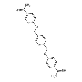 N=C(N)c1ccc(OCc2ccc(COc3ccc(C(=N)N)cc3)cc2)cc1